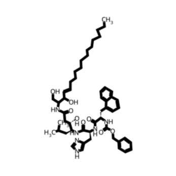 CCCCCCCCCCCCCC=CC(O)C(CO)NC(=O)C[C@H](O)[C@H](CC(C)C)NC(=O)[C@H](Cc1c[nH]cn1)NC(=O)[C@H](Cc1cccc2ccccc12)NC(=O)OCc1ccccc1